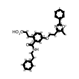 Cc1oc(-c2ccccc2)nc1CCOc1ccc(CCC(=O)O)c(C(=O)NCCc2ccccc2)c1